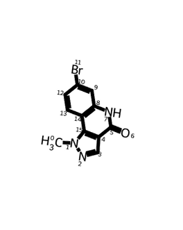 Cn1ncc2c(=O)[nH]c3cc(Br)ccc3c21